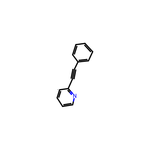 C(#Cc1[c]cccn1)c1ccccc1